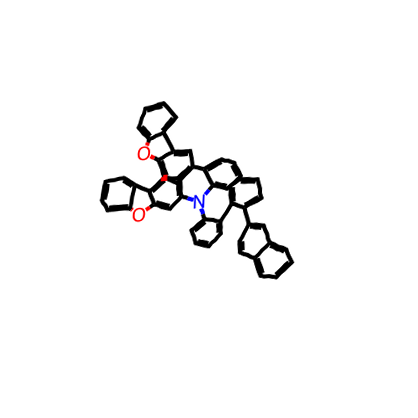 c1ccc(-c2ccccc2N(c2ccc3c(c2)oc2ccccc23)c2ccccc2-c2ccc3oc4ccccc4c3c2)c(-c2ccc3ccccc3c2)c1